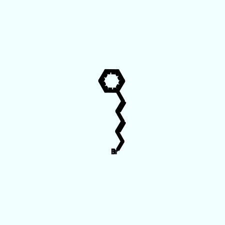 BrCC=CC=Cc1ccccc1